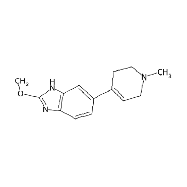 COc1nc2ccc(C3=CCN(C)CC3)cc2[nH]1